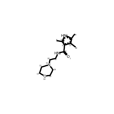 Cc1[nH]c(C)c(C(=O)NCCN2CCOCC2)c1C